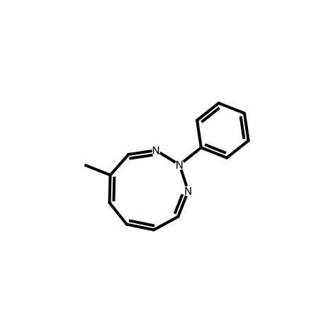 Cc1ccccnn(-c2ccccc2)nc1